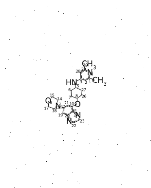 Cc1cc(NC2CCC(Oc3cc(N4CCOCC4)cc4nccnc34)CC2)cc(C)n1